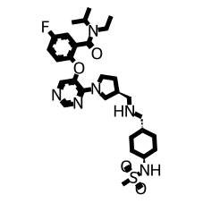 CCN(C(=O)c1cc(F)ccc1Oc1cncnc1N1CC[C@@H](CNC[C@H]2CC[C@@H](NS(C)(=O)=O)CC2)C1)C(C)C